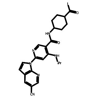 CC(C)Nc1cc(-n2ccc3cc(C#N)cnc32)ncc1C(=O)NC1CCC(C(=O)I)CC1